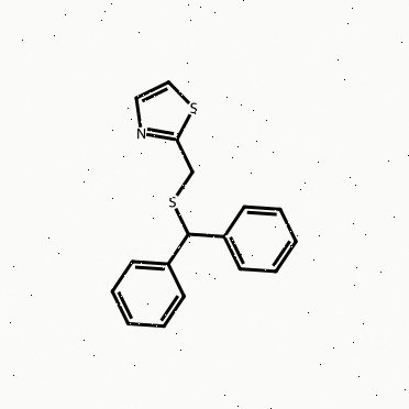 c1ccc(C(SCc2nccs2)c2ccccc2)cc1